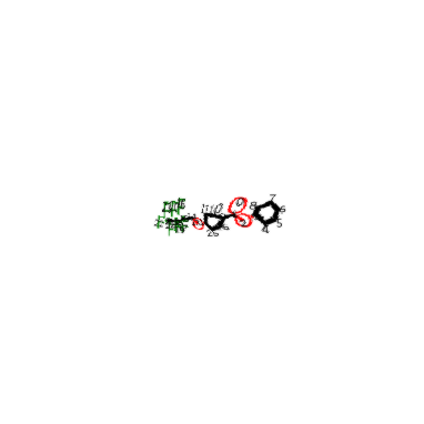 O=C(Oc1ccccc1)c1ccc(OCC(F)(F)C(F)(F)C(F)(F)F)cc1